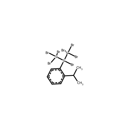 CC(C)c1ccccc1[Si](Br)([Si](Br)(Br)Br)[Si](Br)(Br)Br